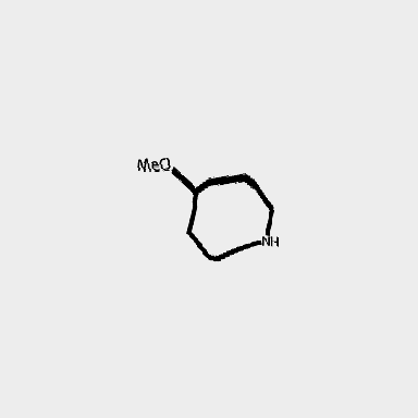 [CH2]OC1CCNCC1